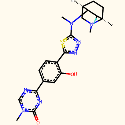 CN(c1nnc(-c2ccc(-c3ncn(C)c(=O)n3)cc2O)s1)C1C(F)[C@@]2(C)CC[C@@H]1CN2C